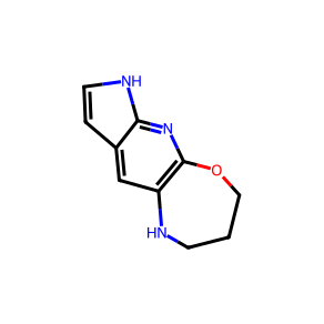 c1cc2cc3c(nc2[nH]1)OCCCN3